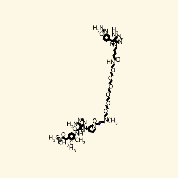 Cc1c(CC(=O)N(C)C)ccc(NC(=O)c2nn([C@@H]3CCCN(C(=O)/C=C/CN(C)CCOCCOCCOCCOCCOCCOCCNC(=O)CCCCn4nc(-c5ccc6oc(N)nc6c5)c5c(N)ncnc54)C3)c3ncnc(N)c23)c1C